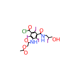 CC(=O)OCC(=O)Nc1c(I)c(C(=O)Cl)c(I)c(C(=O)NCC(I)CO)c1I